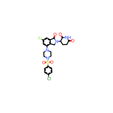 O=C1CCC(N2Cc3c(cc(F)cc3N3CCN(S(=O)(=O)c4ccc(Cl)cc4)CC3)C2=O)C(=O)N1